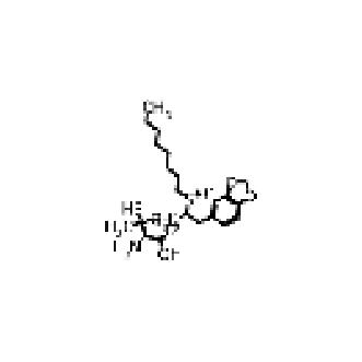 CC(C)(S)[C@@H](N)C(=O)O.CCCCCCCC[S+]([O-])C(C)Cc1ccc2c(c1)OCO2